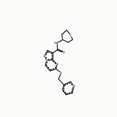 O=C(NC1CCCCC1)c1cnn2ccc(OCc3cccnc3)nc12